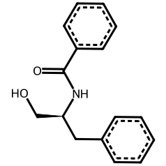 O=C(N[C@H](CO)Cc1ccccc1)c1ccccc1